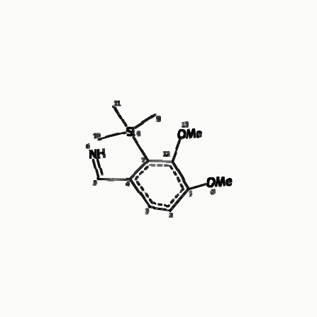 COc1ccc(C=N)c([Si](C)(C)C)c1OC